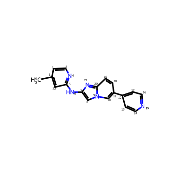 Cc1ccnc(Nc2cn3cc(-c4ccncc4)ccc3n2)c1